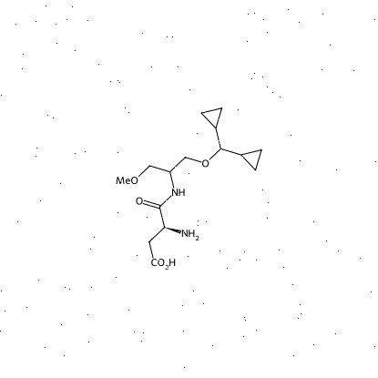 COCC(COC(C1CC1)C1CC1)NC(=O)[C@@H](N)CC(=O)O